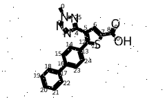 Cn1nnc(-c2cc(C(=O)O)sc2-c2ccc(-c3ccccc3)cc2)n1